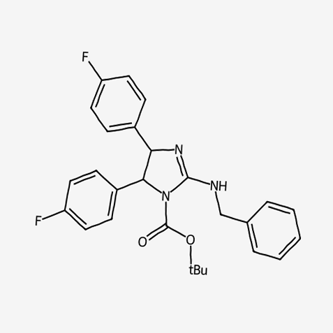 CC(C)(C)OC(=O)N1C(NCc2ccccc2)=NC(c2ccc(F)cc2)C1c1ccc(F)cc1